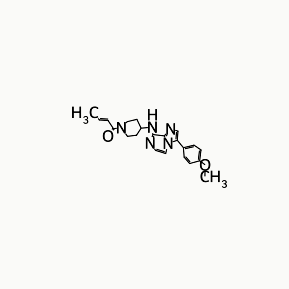 C/C=C/C(=O)N1CCC(Nc2nccn3c(-c4ccc(OC)cc4)cnc23)CC1